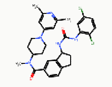 Cc1cc(N2CCC(N(C)C(=O)c3ccc4c(c3)C(NC(=O)Nc3cc(Cl)ccc3Cl)CC4)CC2)cc(C)n1